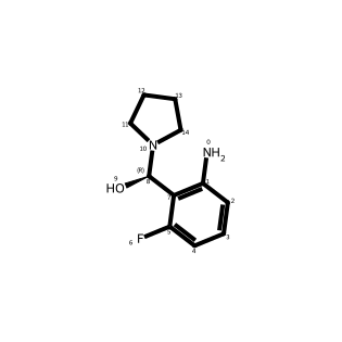 Nc1cccc(F)c1[C@@H](O)N1CCCC1